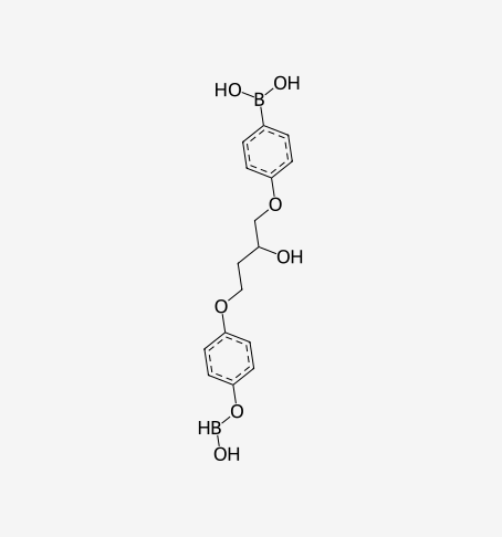 OBOc1ccc(OCCC(O)COc2ccc(B(O)O)cc2)cc1